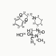 CN1C(=O)N([C@H]2CCCN(C[C@H]3COc4ccccc4O3)C2)CC1(C)C.Cl